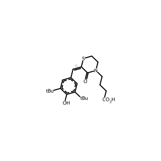 CC(C)(C)c1cc(/C=C2/SCCN(CCCC(=O)O)C2=O)cc(C(C)(C)C)c1O